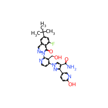 CC(C)(C)c1cc(F)c2c(=O)n(-c3nccc(-n4cc(C(N)=O)c(-c5ccc(O)nc5)n4)c3CO)ncc2c1